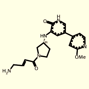 COc1cc(-c2c[nH]c(=O)c(N[C@@H]3CCN(C(=O)C=CCN)C3)c2)ccn1